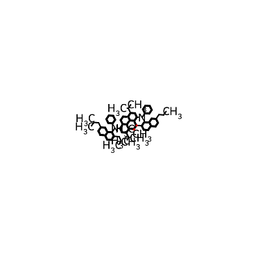 CCCc1ccc2ccc(CC(C)C)c(N(c3ccccc3)c3cc(C(C)C)c4ccc5c(N(c6ccccc6)c6c(CC(C)C)ccc7ccc(CC(C)C)cc67)cc(C(C)C)c6ccc3c4c65)c2c1